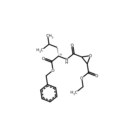 CCOC(=O)C1OC1C(=O)N[C@@H](CC(C)C)C(=O)OCc1ccccc1